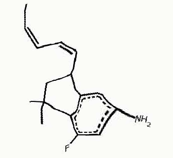 C/C=C\C=C/C1CC(C)(C)c2c(F)cc(N)cc21